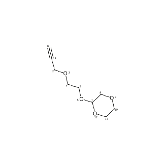 C#CCOCCOC1COCCO1